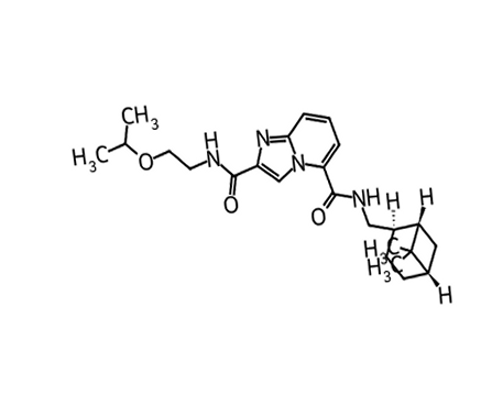 CC(C)OCCNC(=O)c1cn2c(C(=O)NC[C@@H]3CC[C@H]4C[C@@H]3C4(C)C)cccc2n1